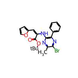 Cc1nc(NC(=Cc2ccco2)C(=O)OC(C)(C)C)c(-c2ccccc2)nc1Br